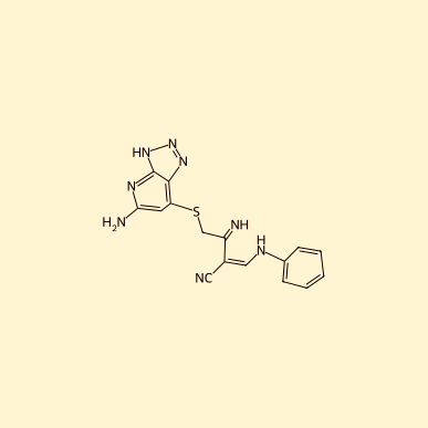 N#C/C(=C/Nc1ccccc1)C(=N)CSc1cc(N)nc2[nH]nnc12